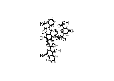 N#Cc1ccccc1NC(=O)c1c(Cl)c(Cl)c(Cl)c(Cl)c1C(=O)O.O=C(O)c1cc(=O)cc(C(=O)O)o1.O=C(O)c1cc(Br)c2ccccc2c1O